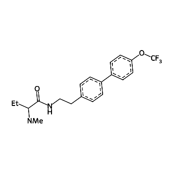 CCC(NC)C(=O)NCCc1ccc(-c2ccc(OC(F)(F)F)cc2)cc1